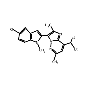 CCC(CC)c1cc(C)nn2c(-c3cc4cc(Cl)ccc4n3C)c(C)nc12